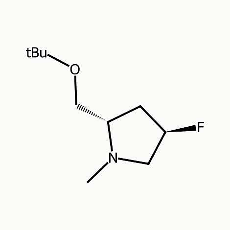 CN1C[C@H](F)C[C@H]1COC(C)(C)C